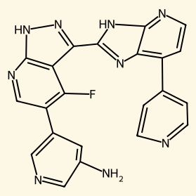 Nc1cncc(-c2cnc3[nH]nc(-c4nc5c(-c6ccncc6)ccnc5[nH]4)c3c2F)c1